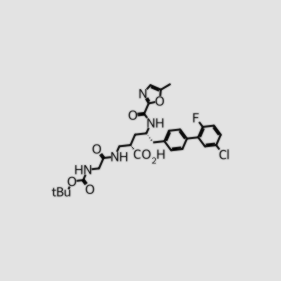 Cc1cnc(C(=O)N[C@H](Cc2ccc(-c3cc(Cl)ccc3F)cc2)C[C@@H](CNC(=O)CNC(=O)OC(C)(C)C)C(=O)O)o1